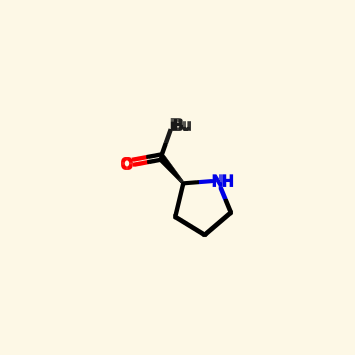 CCC(C)C(=O)[C@@H]1CCCN1